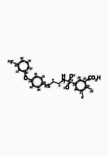 Cc1cc(S(=O)(=O)NCCSc2ccc(Oc3cccc(F)c3)cc2)cc(C(=O)O)c1C